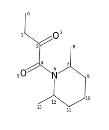 CCC(=O)C(=O)N1C(C)CCCC1C